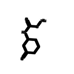 CCCCOC(=O)NC1CCCC(=O)C1